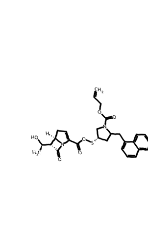 C=CCOC(=O)N1C[C@@H](SOC(=O)C2=CC[C@@H]3[C@@H]([C@@H](C)O)C(=O)N23)CC1Cc1cccc2ccccc12